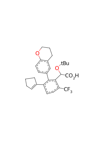 CC(C)(C)OC(C(=O)O)c1c(C(F)(F)F)ccc(C2=CCCC2)c1-c1ccc2c(c1)CCCO2